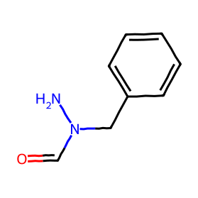 NN(C=O)Cc1ccccc1